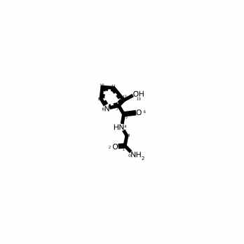 NC(=O)CNC(=O)c1ncccc1O